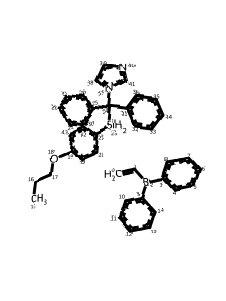 C=CB(c1ccccc1)c1ccccc1.CCCOc1ccc([SiH2]C(c2ccccc2)(c2ccccc2)n2ccnc2)cc1